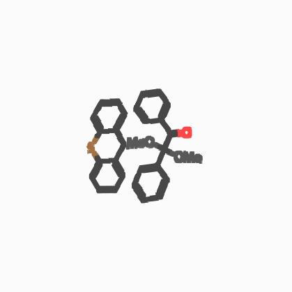 COC(OC)(C(=O)c1ccccc1)c1ccccc1.c1ccc2c(c1)Cc1ccccc1S2